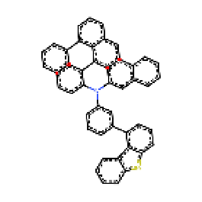 c1ccc(-c2cccc3cccc(-c4ccccc4N(c4cccc(-c5cccc6sc7ccccc7c56)c4)c4ccc5ccccc5c4)c23)cc1